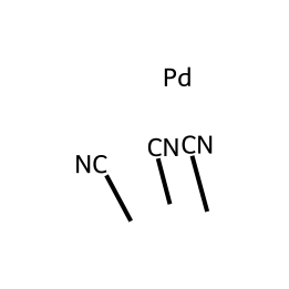 CC#N.CC#N.CC#N.[Pd]